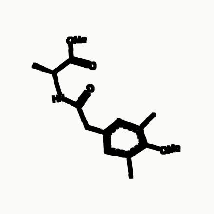 COC(=O)[C@H](C)NC(=O)Cc1cc(C)c(OC)c(C)c1